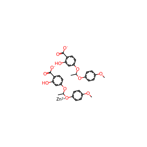 COc1ccc(OC(C)Oc2ccc(C(=O)[O-])c(O)c2)cc1.COc1ccc(OC(C)Oc2ccc(C(=O)[O-])c(O)c2)cc1.[Zn+2]